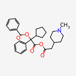 CN1CCC(CC(=O)OC(=O)C(OC(=O)c2ccccc2)(c2ccccc2)C2CCCC2)CC1